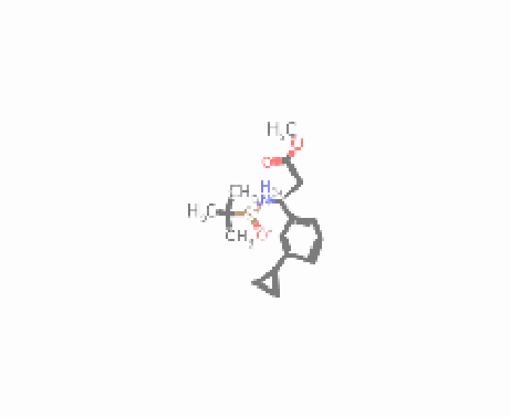 COC(=O)C[C@H](N[S+]([O-])C(C)(C)C)c1cccc(C2CC2)c1